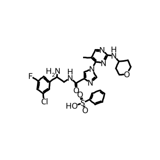 Cc1cnc(NC2CCOCC2)nc1-n1cnc(C(=O)NCC(N)c2cc(F)cc(Cl)c2)c1.O=S(=O)(O)c1ccccc1